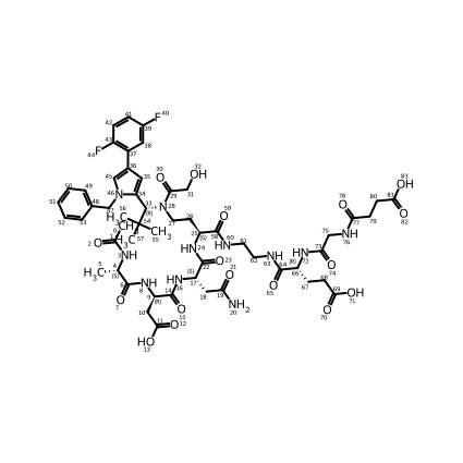 CC(=O)N[C@@H](C)C(=O)N[C@H](CC(=O)O)C(=O)N[C@@H](CC(N)=O)C(=O)N[C@@H](CCN(C(=O)CO)[C@@H](c1cc(-c2cc(F)ccc2F)cn1Cc1ccccc1)C(C)(C)C)C(=O)NCCNC(=O)[C@@H](CCC(=O)O)NC(=O)CNC(=O)CCC(=O)O